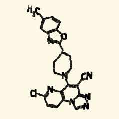 Cc1ccc2oc(C3CCN(c4c(C#N)c5nncn5c5ccc(Cl)nc45)CC3)nc2c1